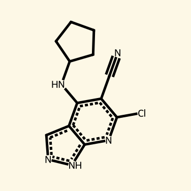 N#Cc1c(Cl)nc2[nH]ncc2c1NC1CCCC1